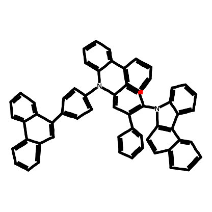 c1ccc(-c2ccccc2N(c2ccc(-c3cc4ccccc4c4ccccc34)cc2)c2ccc(-n3c4ccccc4c4c5ccccc5ccc43)c(-c3ccccc3)c2)cc1